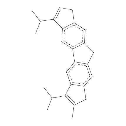 CC1=C(C(C)C)c2cc3c(cc2C1)Cc1cc2c(cc1-3)C(C(C)C)=CC2